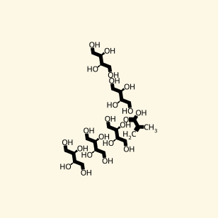 C=C(C)C(=O)O.OC[C@@H](O)[C@@H](O)CO.OC[C@@H](O)[C@@H](O)CO.OC[C@@H](O)[C@@H](O)CO.OC[C@@H](O)[C@@H](O)CO.OC[C@@H](O)[C@@H](O)CO